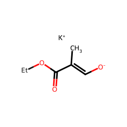 CCOC(=O)/C(C)=C/[O-].[K+]